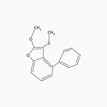 COc1oc2cccc(-c3ccccc3)c2c1SC